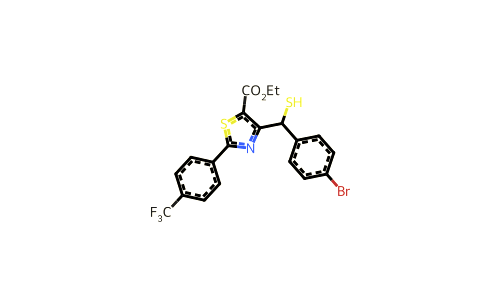 CCOC(=O)c1sc(-c2ccc(C(F)(F)F)cc2)nc1C(S)c1ccc(Br)cc1